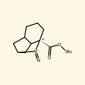 CC(C)(C)OC(=O)[C@@]12CCCC3CC(CC31)[N+]2=[N-]